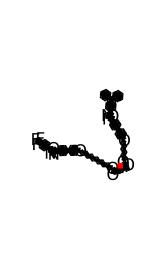 CCC(C)(CC(C)(C)C(=O)OCCCCCCCCCCCOc1ccc(-c2ccc(-c3nnc(-c4ccc(C(F)(F)F)cc4)o3)cc2)cc1)C(=O)OCCCCCCOc1ccc(-c2ccc(-c3nnc(-c4ccc(N(c5ccccc5)c5ccccc5)cc4)o3)cc2)cc1